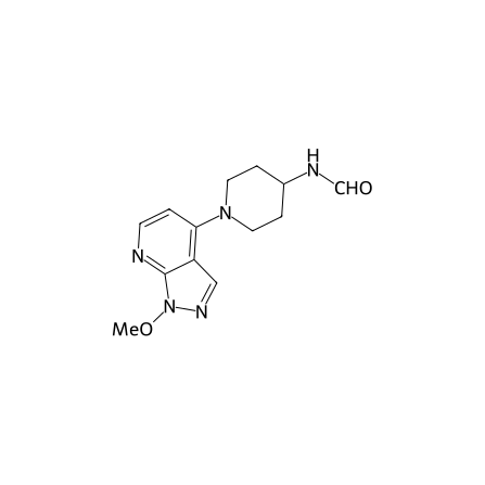 COn1ncc2c(N3CCC(NC=O)CC3)ccnc21